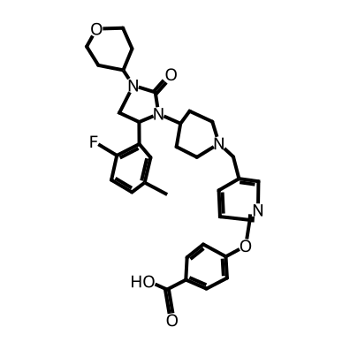 Cc1ccc(F)c(C2CN(C3CCOCC3)C(=O)N2C2CCN(Cc3ccc(Oc4ccc(C(=O)O)cc4)nc3)CC2)c1